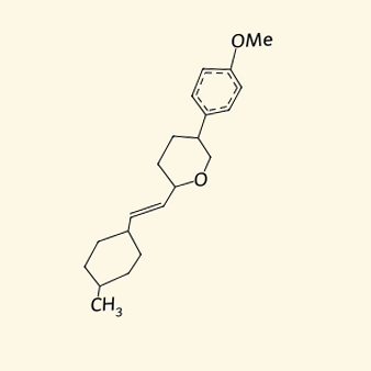 COc1ccc(C2CCC(/C=C/C3CCC(C)CC3)OC2)cc1